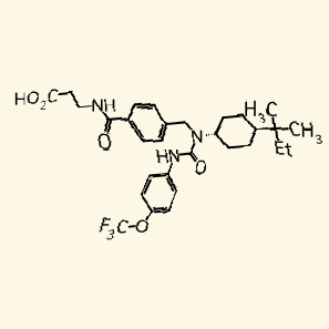 CCC(C)(C)[C@H]1CC[C@H](N(Cc2ccc(C(=O)NCCC(=O)O)cc2)C(=O)Nc2ccc(OC(F)(F)F)cc2)CC1